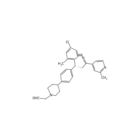 Cc1cc(/C(C[C@H](c2ccc(C3CCN(CC=O)CC3)cc2)c2ccc(Cl)cc2C)=N/O)ccn1